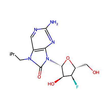 CC(C)Cn1c(=O)n([C@@H]2O[C@H](CO)[C@@H](F)[C@H]2O)c2nc(N)ncc21